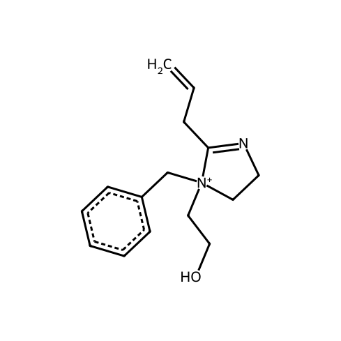 C=CCC1=NCC[N+]1(CCO)Cc1ccccc1